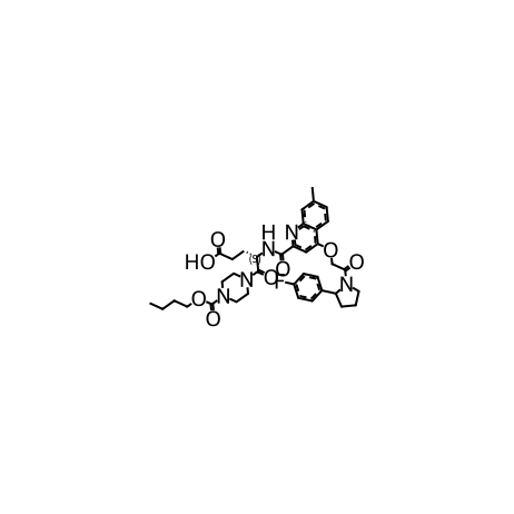 CCCCOC(=O)N1CCN(C(=O)[C@H](CCC(=O)O)NC(=O)c2cc(OCC(=O)N3CCCC3c3ccc(F)cc3)c3ccc(C)cc3n2)CC1